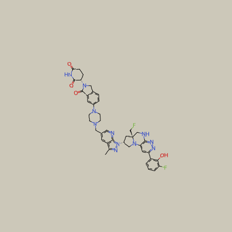 Cc1nn([C@H]2CN3c4cc(-c5cccc(F)c5O)nnc4NC[C@@]3(CF)C2)c2ncc(CN3CCN(c4ccc5c(c4)C(=O)N([C@H]4CCC(=O)NC4=O)C5)CC3)cc12